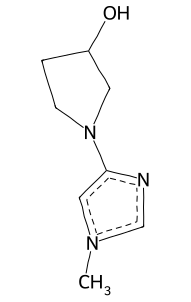 Cn1cnc(N2CCC(O)C2)c1